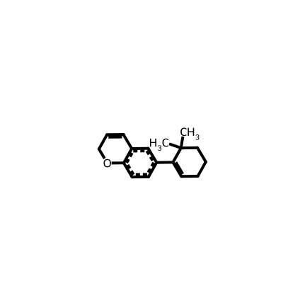 CC1(C)CCCC=C1c1ccc2c(c1)C=CCO2